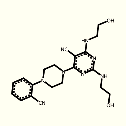 N#Cc1ccccc1N1CCN(c2nc(NCCO)nc(NCCO)c2C#N)CC1